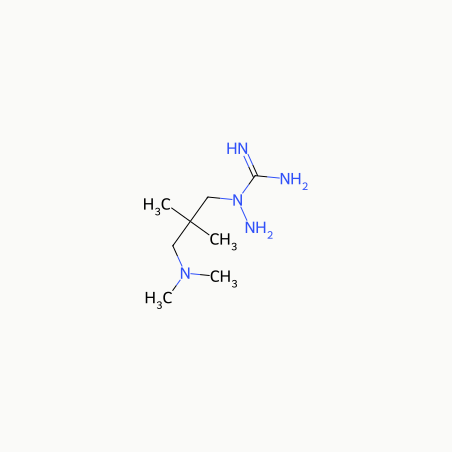 CN(C)CC(C)(C)CN(N)C(=N)N